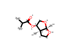 [2H]C([2H])C(=O)O[C@H]1CO[C@H]2OCC[C@H]21